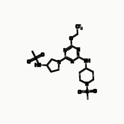 CS(=O)(=O)NC1CCN(c2nc(NC3CCN(S(C)(=O)=O)CC3)nc(OCC(F)(F)F)n2)C1